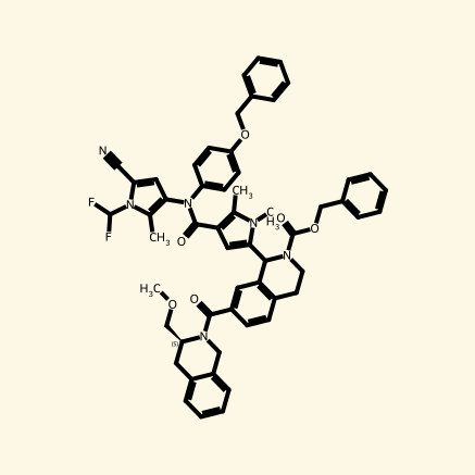 COC[C@@H]1Cc2ccccc2CN1C(=O)c1ccc2c(c1)C(c1cc(C(=O)N(c3ccc(OCc4ccccc4)cc3)c3cc(C#N)n(C(F)F)c3C)c(C)n1C)N(C(=O)OCc1ccccc1)CC2